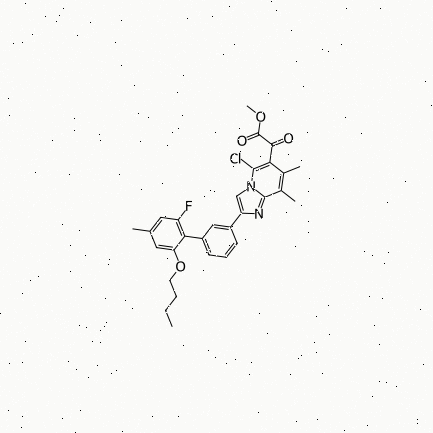 CCCCOc1cc(C)cc(F)c1-c1cccc(-c2cn3c(Cl)c(C(=O)C(=O)OC)c(C)c(C)c3n2)c1